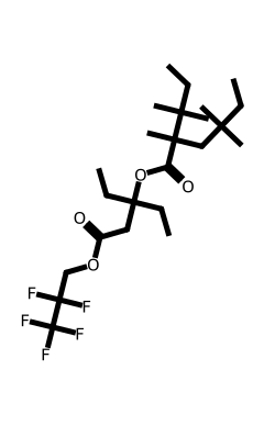 CCC(C)(C)CC(C)(C(=O)OC(CC)(CC)CC(=O)OCC(F)(F)C(F)(F)F)C(C)(C)CC